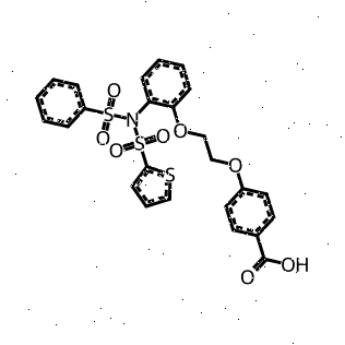 O=C(O)c1ccc(OCCOc2ccccc2N(S(=O)(=O)c2ccccc2)S(=O)(=O)c2cccs2)cc1